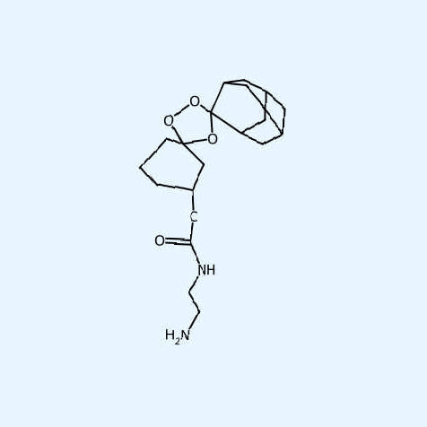 NCCNC(=O)CC1CCCC2(C1)OOC1(O2)C2CC3CC(C2)CC1C3